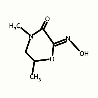 CC1CN(C)C(=O)C(=NO)O1